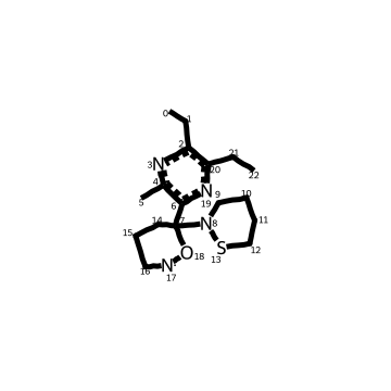 CCc1nc(C)c(C2(N3CCCCS3)CCC[N]O2)nc1CC